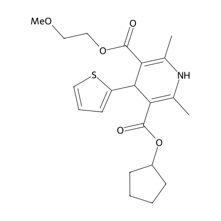 COCCOC(=O)C1=C(C)NC(C)=C(C(=O)OC2CCCC2)C1c1cccs1